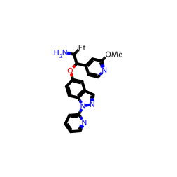 CCC(N)C(Oc1ccc2c(cnn2-c2ccccn2)c1)c1ccnc(OC)c1